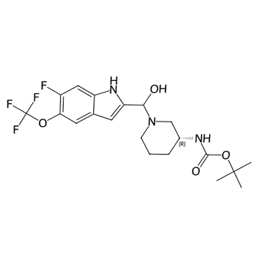 CC(C)(C)OC(=O)N[C@@H]1CCCN(C(O)c2cc3cc(OC(F)(F)F)c(F)cc3[nH]2)C1